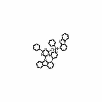 Cc1nc(-c2ccccc2)nc(-n2c3ccccc3c3cccc(-c4ccc(N(c5ccccc5)c5cccc6c5sc5ccccc56)cc4)c32)n1